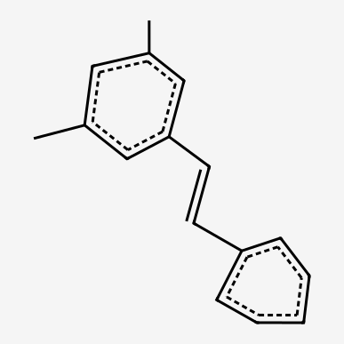 Cc1cc(C)cc(C=Cc2ccccc2)c1